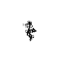 CCOc1cc2c(cc1OC)-c1c/c(=N\c3c(C)cc(C)cc3C)n(CCNC(=O)c3c(O)nnn3C)c(=O)n1CC2